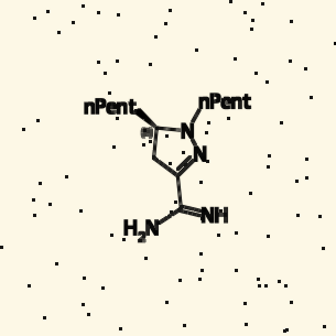 CCCCC[C@@H]1CC(C(=N)N)=NN1CCCCC